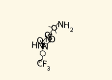 Cc1cc(CN)cc(C)c1C=CS(=O)(=O)N1CCC2(CC1)N=C(C1CCC(CCC(F)(F)F)CC1)NC2=O